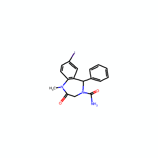 CN1C(=O)CN(C(N)=O)C(c2ccccc2)c2cc(I)ccc21